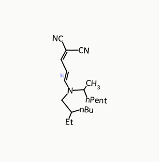 CCCCCC(C)N(/C=C/C=C(C#N)C#N)CC(CC)CCCC